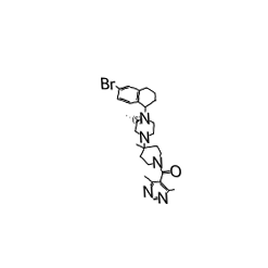 Cc1ncnc(C)c1C(=O)N1CCC(C)(N2CCN(C3CCCc4cc(Br)ccc43)[C@@H](C)C2)CC1